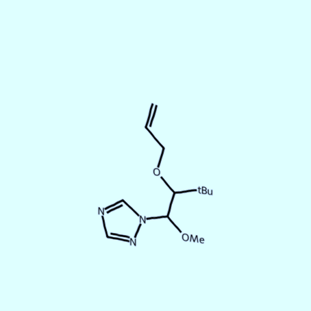 C=CCOC(C(OC)n1cncn1)C(C)(C)C